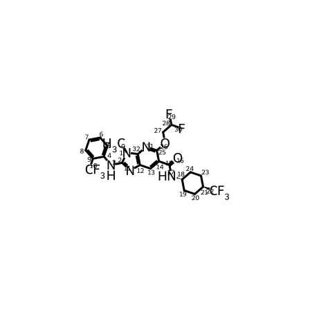 Cn1c(Nc2ccccc2C(F)(F)F)nc2cc(C(=O)N[C@H]3CC[C@H](C(F)(F)F)CC3)c(OCC(F)F)nc21